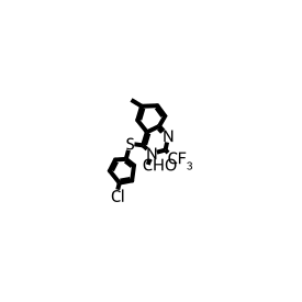 Cc1ccc2c(c1)=C(Sc1ccc(Cl)cc1)N(C=O)C(C(F)(F)F)N=2